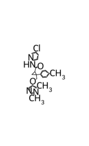 Cc1ccc(C2(COc3cnc(C)nc3C)CC2C(=O)Nc2ccc(Cl)cn2)cc1